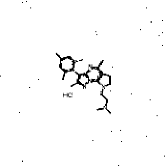 Cc1cc(C)c(-c2c(C)nn3c4c(c(C)nc23)CCN4CCN(C)C)c(C)c1.Cl